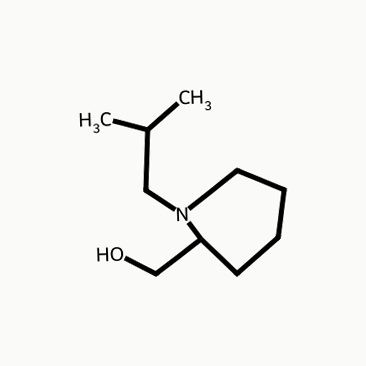 CC(C)CN1CCCCC1CO